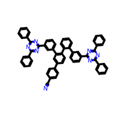 N#Cc1ccc(-c2ccc(-c3ccccc3-c3cccc(-c4nc(-c5ccccc5)nc(-c5ccccc5)n4)c3)c(-c3cccc(-c4nc(-c5ccccc5)nc(-c5ccccc5)n4)c3)c2)cc1